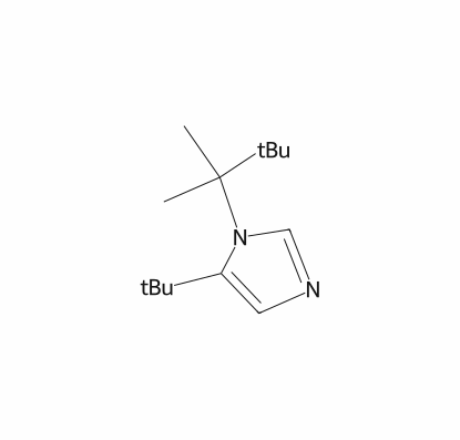 CC(C)(C)c1cncn1C(C)(C)C(C)(C)C